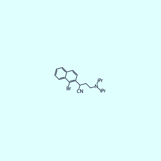 CC(C)N(CCC(C#N)c1ccc2ccccc2c1Br)C(C)C